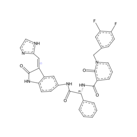 O=C1Nc2ccc(NC(=O)[C@H](NC(=O)c3cccn(Cc4ccc(F)c(F)c4)c3=O)c3ccccc3)cc2/C1=C/c1ncc[nH]1